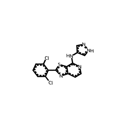 Clc1cccc(Cl)c1-c1nc2ccnc(Nc3cn[nH]c3)c2s1